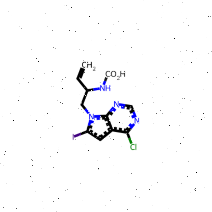 C=CC(Cn1c(I)cc2c(Cl)ncnc21)NC(=O)O